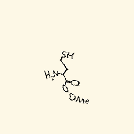 COOC(=O)C(N)CCS